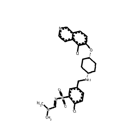 CN(C)/C=N/S(=O)(=O)c1cc(CN[C@H]2CC[C@@H](Oc3ccc4cnccc4c3Cl)CC2)ccc1Cl